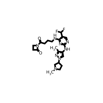 Cc1nn(C2CCN(C)C2)cc1Nc1ncc(C(F)F)c(NCCCC(=O)N2CCC2=O)n1